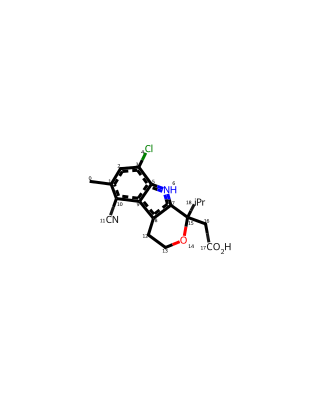 Cc1cc(Cl)c2[nH]c3c(c2c1C#N)CCOC3(CC(=O)O)C(C)C